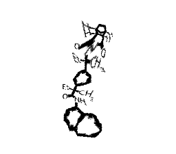 CC[C@@](C)(C(=O)Nc1cccc2ccccc12)c1ccc([C@](C)(CC)N2C(=O)[C@@H]3[C@H](C2=O)[C@@H]2C=C[C@H]3C2)cc1